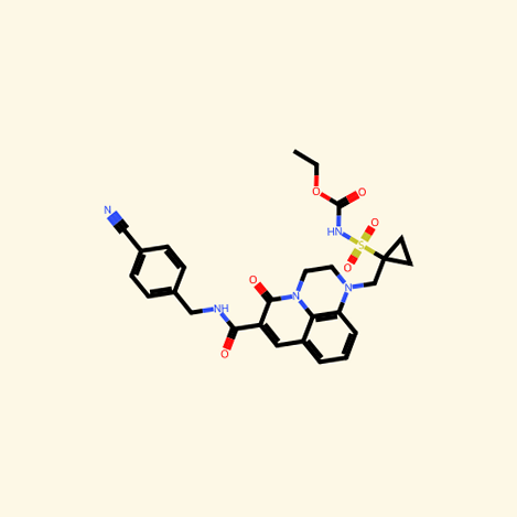 CCOC(=O)NS(=O)(=O)C1(CN2CCn3c(=O)c(C(=O)NCc4ccc(C#N)cc4)cc4cccc2c43)CC1